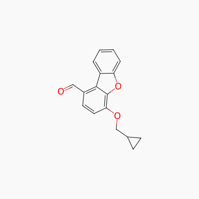 O=Cc1ccc(OCC2CC2)c2oc3ccccc3c12